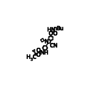 CCCCNC(=O)Oc1ccc2c(C#N)c(-c3ccc(NC(=O)O[C@H](C)C4CC4)cc3)n(C3CCC3)c2c1